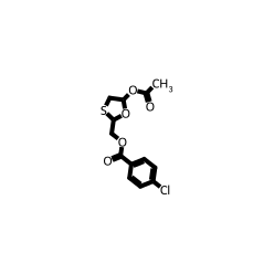 CC(=O)OC1CSC(COC(=O)c2ccc(Cl)cc2)O1